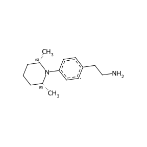 C[C@@H]1CCC[C@H](C)N1c1c[c]c(CCN)cc1